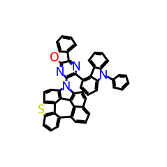 c1ccc(-n2c3ccccc3c3c(-c4nc5c(nc4-n4c6ccc7cccc8c7c6c6c7c(ccc64)sc4cccc-8c47)oc4ccccc45)cccc32)cc1